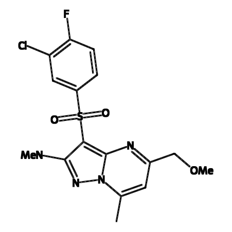 CNc1nn2c(C)cc(COC)nc2c1S(=O)(=O)c1ccc(F)c(Cl)c1